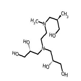 C[C@@H](CO)CN(C)CCN(C[C@@H](O)CO)C[C@@H](O)CO